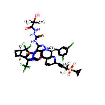 Cn1nc(NC(=S)NNC(=O)C(C)(C)O)c2c(Cl)ccc(-c3ccc(C#CC(C)(C)S(=O)(=O)C4CC4)nc3[C@H](Cc3cc(F)cc(F)c3)NC(=O)Cn3nc(C(F)(F)F)c4c3C(F)(F)[C@@H]3CC[C@H]43)c21